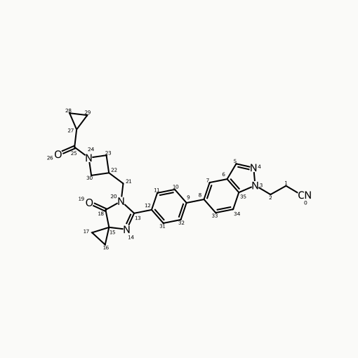 N#CCCn1ncc2cc(-c3ccc(C4=NC5(CC5)C(=O)N4CC4CN(C(=O)C5CC5)C4)cc3)ccc21